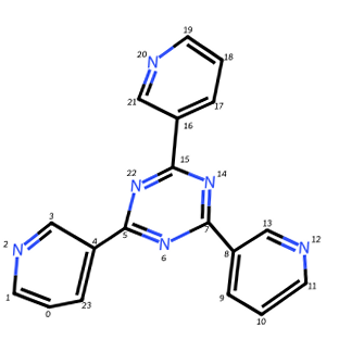 c1cncc(-c2nc(-c3cccnc3)nc(-c3cccnc3)n2)c1